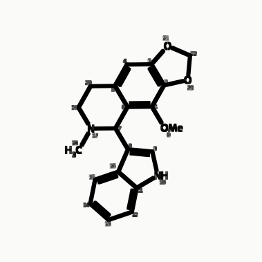 COc1c2c(cc3c1C(c1c[nH]c4ccccc14)N(C)CC3)OCO2